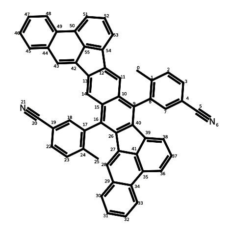 Cc1ccc(C#N)cc1-c1c2cc3c(cc2c(-c2cc(C#N)ccc2C)c2c4cc5ccccc5c5cccc(c12)c54)c1cc2ccccc2c2cccc3c21